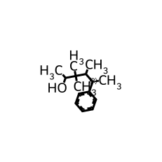 CC(O)C(C)(C)C(C)[C@@H](C)c1ccccc1